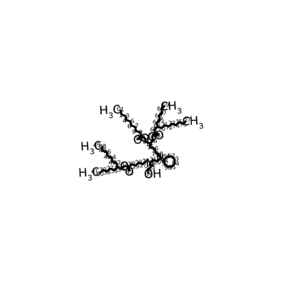 CCCCCCCCCCC(=O)OCC(CCCCN(CCN(CCO)CCCCCC(=O)OCC(CCCCCC)CCCCCCCC)C1CCCCCCC1)COC(=O)CC(CCCCCC)CCCCCCCC